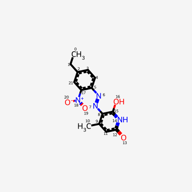 CCc1ccc(N=Nc2c(C)cc(=O)[nH]c2O)c([N+](=O)[O-])c1